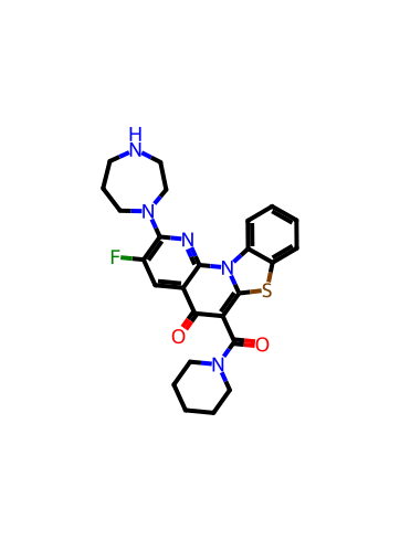 O=C(c1c(=O)c2cc(F)c(N3CCCNCC3)nc2n2c1sc1ccccc12)N1CCCCC1